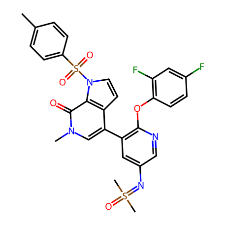 Cc1ccc(S(=O)(=O)n2ccc3c(-c4cc(N=S(C)(C)=O)cnc4Oc4ccc(F)cc4F)cn(C)c(=O)c32)cc1